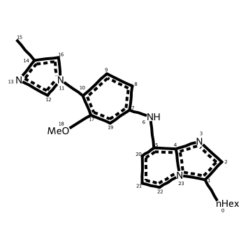 CCCCCCc1cnc2c(Nc3ccc(-n4cnc(C)c4)c(OC)c3)cccn12